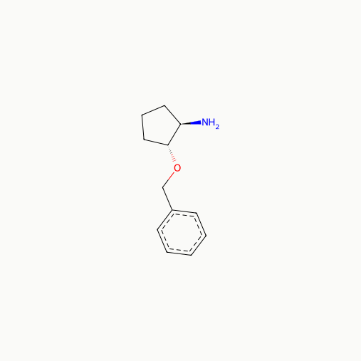 N[C@@H]1CCC[C@H]1OCc1ccccc1